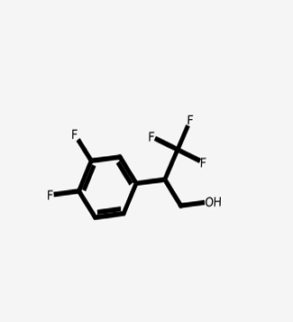 OCC(c1ccc(F)c(F)c1)C(F)(F)F